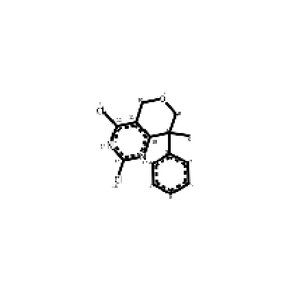 CC1(c2ccccc2)COCc2c(Cl)nc(Cl)nc21